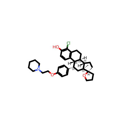 C[C@]12C[C@H](c3ccc(OCCN4CCCCC4)cc3)[C@@H]3c4ccc(O)c(Cl)c4CC[C@H]3[C@@H]1CC[C@@]21CCCO1